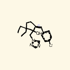 CCC1(CC)CC/C(=C/c2ccc(Cl)cc2)C1(O)Cn1cncn1